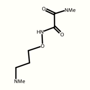 CNCCCONC(=O)C(=O)NC